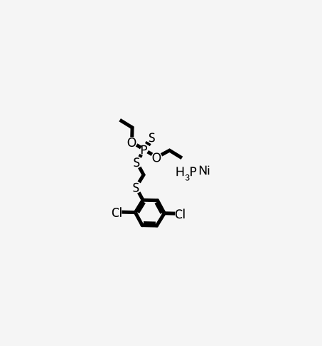 CCOP(=S)(OCC)SCSc1cc(Cl)ccc1Cl.P.[Ni]